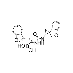 O=C(NC1CC12COc1ccccc12)N[C@@H](Cc1coc2ccccc12)B(O)O